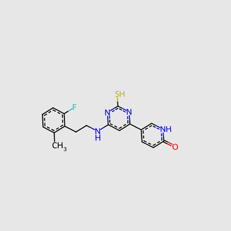 Cc1cccc(F)c1CCNc1cc(-c2ccc(=O)[nH]c2)nc(S)n1